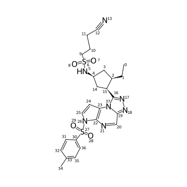 CC[C@@H]1C[C@H](NS(=O)(=O)CCCC#N)C[C@@H]1c1nnc2cnc3c(ccn3S(=O)(=O)c3ccc(C)cc3)n12